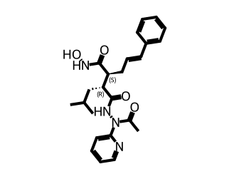 CC(=O)N(NC(=O)[C@H](CC(C)C)[C@H](CC=Cc1ccccc1)C(=O)NO)c1ccccn1